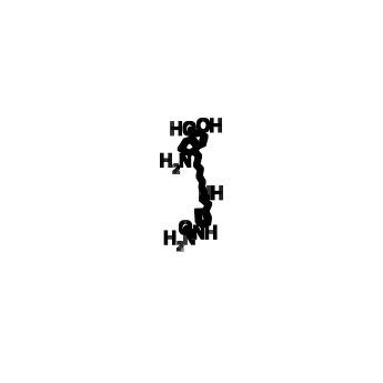 NC(=O)Nc1ccc(CCNCCCCCCC2c3ccc(O)c(O)c3CCC2N)cc1